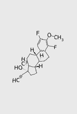 C#C[C@]1(O)CC[C@H]2[C@@H]3CCc4c(cc(F)c(OC)c4F)[C@H]3CC[C@@]21C